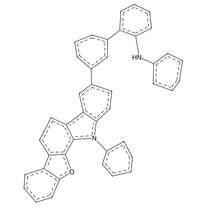 c1ccc(Nc2ccccc2-c2cccc(-c3ccc4c(c3)c3ccc5c6ccccc6oc5c3n4-c3ccccc3)c2)cc1